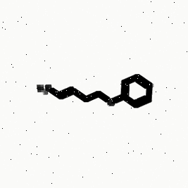 C/C=C/CCOc1cc[c]cc1